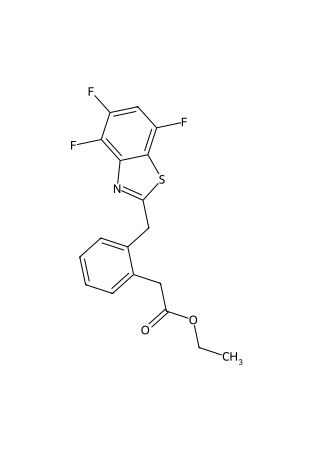 CCOC(=O)Cc1ccccc1Cc1nc2c(F)c(F)cc(F)c2s1